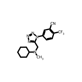 CN(Cc1nnnn1-c1ccc(C(F)(F)F)c(C#N)c1)C1CCCCC1